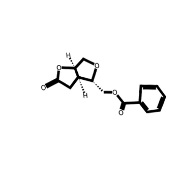 O=C1C[C@H]2[C@H](CO[C@@H]2COC(=O)c2ccccc2)O1